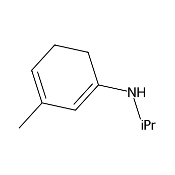 CC1=CCCC(NC(C)C)=C1